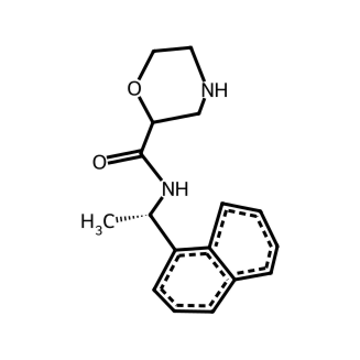 C[C@H](NC(=O)C1CNCCO1)c1cccc2ccccc12